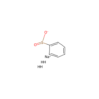 O=S([O-])c1ccccc1.[HH].[HH].[Na+]